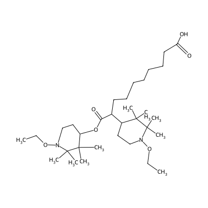 CCON1CCC(OC(=O)C(CCCCCCCC(=O)O)C2CCN(OCC)C(C)(C)C2(C)C)C(C)(C)C1(C)C